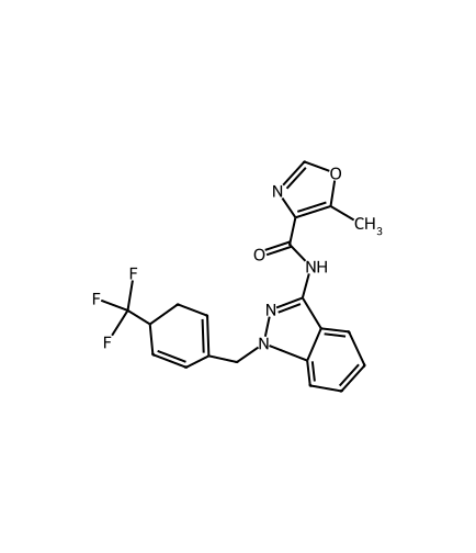 Cc1ocnc1C(=O)Nc1nn(CC2=CCC(C(F)(F)F)C=C2)c2ccccc12